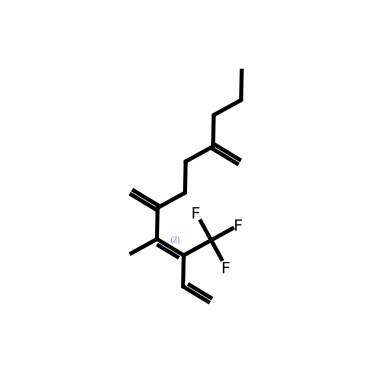 C=C/C(=C(\C)C(=C)CCC(=C)CCC)C(F)(F)F